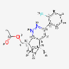 CC(=O)OC[C@]12CC[C@H](c3cc(-c4ccccc4F)nnc31)C2(C)C